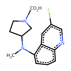 CN(c1cccc2ncc(F)cc12)C1CCN(C(=O)O)C1